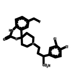 O=C1Nc2ccc(CF)cc2C2(CCN(CCC(C(=O)O)c3ccc(Cl)c(Cl)c3)CC2)O1